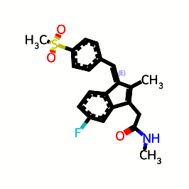 CNC(=O)CC1=C(C)/C(=C/c2ccc(S(C)(=O)=O)cc2)c2ccc(F)cc21